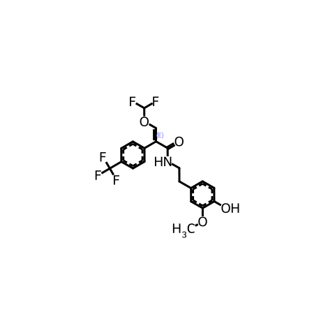 COc1cc(CCNC(=O)/C(=C/OC(F)F)c2ccc(C(F)(F)F)cc2)ccc1O